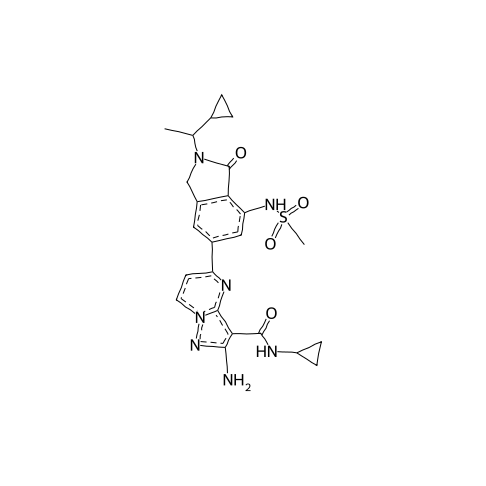 CC(C1CC1)N1Cc2cc(-c3ccn4nc(N)c(C(=O)NC5CC5)c4n3)cc(NS(C)(=O)=O)c2C1=O